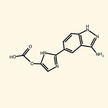 Nc1n[nH]c2ccc(-c3ncc(OC(=O)O)[nH]3)cc12